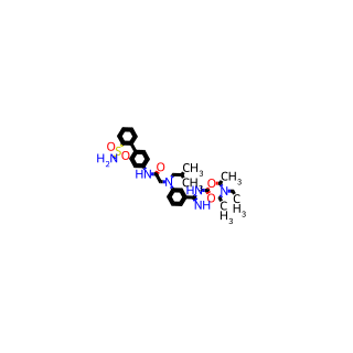 CCN(CC)C(C)OC(=O)NC(=N)c1cccc(N(CC(=O)Nc2ccc(-c3ccccc3S(N)(=O)=O)cc2)CC(C)C)c1